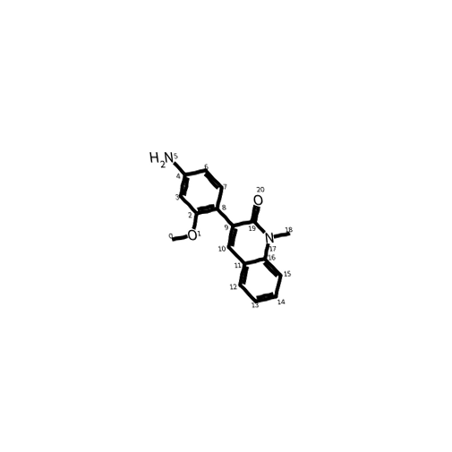 COc1cc(N)ccc1-c1cc2ccccc2n(C)c1=O